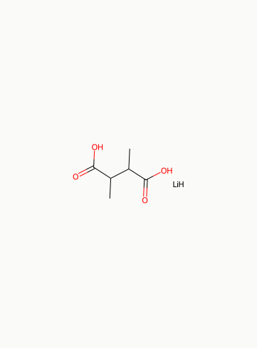 CC(C(=O)O)C(C)C(=O)O.[LiH]